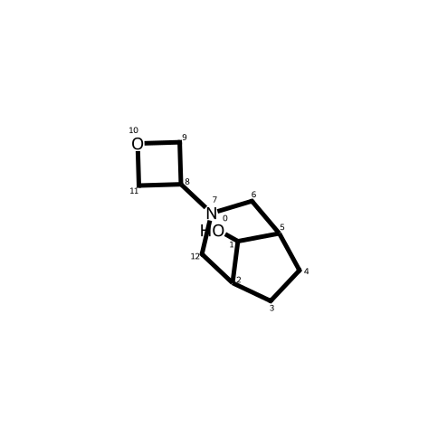 OC1C2CCC1CN(C1COC1)C2